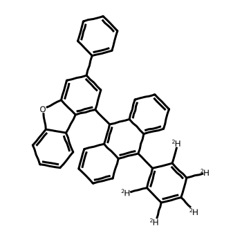 [2H]c1c([2H])c([2H])c(-c2c3ccccc3c(-c3cc(-c4ccccc4)cc4oc5ccccc5c34)c3ccccc23)c([2H])c1[2H]